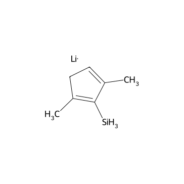 CC1=CCC(C)=C1[SiH3].[Li]